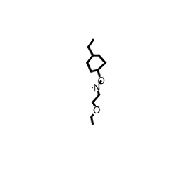 CCOCC[N]OC1CCC(CC)CC1